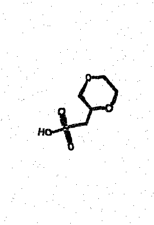 O=S(=O)(O)CC1COCCO1